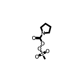 CS(=O)(=O)OOC(=O)N1CCCC1